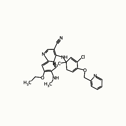 CCOc1cc2ncc(C#N)c(NC3(C)C=C(Cl)C(OCc4ccccn4)=CC3)c2cc1NC